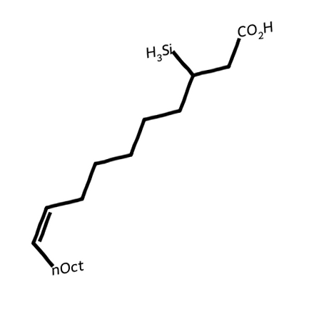 CCCCCCCC/C=C\CCCCCC([SiH3])CC(=O)O